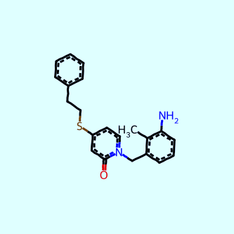 Cc1c(N)cccc1Cn1ccc(SCCc2ccccc2)cc1=O